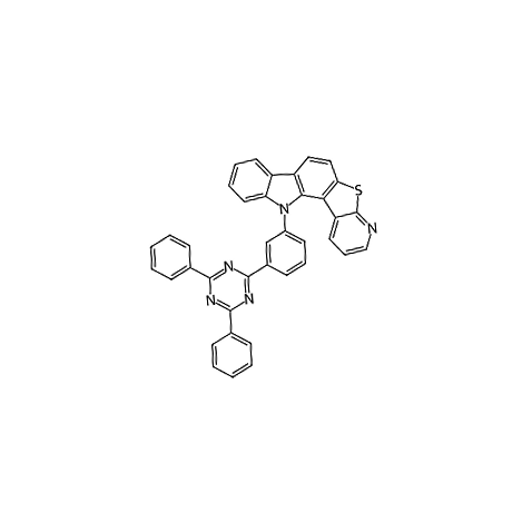 c1ccc(-c2nc(-c3ccccc3)nc(-c3cccc(-n4c5ccccc5c5ccc6sc7ncccc7c6c54)c3)n2)cc1